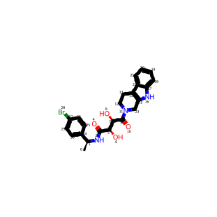 C[C@H](NC(=O)[C@H](O)[C@@H](O)C(=O)N1CCc2c([nH]c3ccccc23)C1)c1ccc(Br)cc1